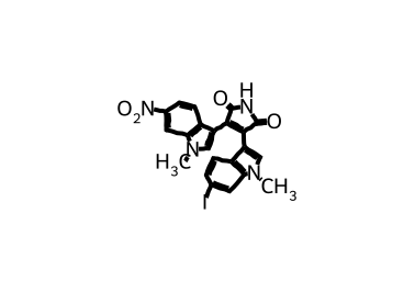 Cn1cc(C2=C(c3cn(C)c4cc([N+](=O)[O-])ccc34)C(=O)NC2=O)c2ccc(I)cc21